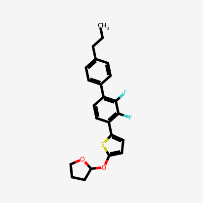 CCCc1ccc(-c2ccc(-c3ccc(OC4CCCO4)s3)c(F)c2F)cc1